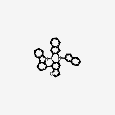 c1ccc2cc(N3c4cc5ccccc5cc4B4c5c3cc3ccoc3c5-c3cccc5c6ccccc6n4c35)ccc2c1